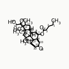 CCCCC(=O)OC1=C[C@H]2[C@@H]3CC(C)[C@](O)(C(=O)CO)[C@@]3(C)CC(O)[C@]2(F)[C@@]2(C)C=CC(=O)C=C12